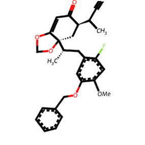 C#CC(C)[C@H]1C[C@]2([C@@H](C)Cc3cc(OCc4ccccc4)c(OC)cc3F)OCOC2=CC1=O